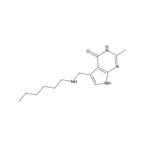 CCCCCCNCc1c[nH]c2nc(C)[nH]c(=O)c12